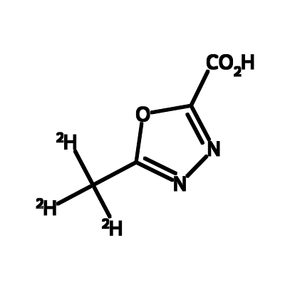 [2H]C([2H])([2H])c1nnc(C(=O)O)o1